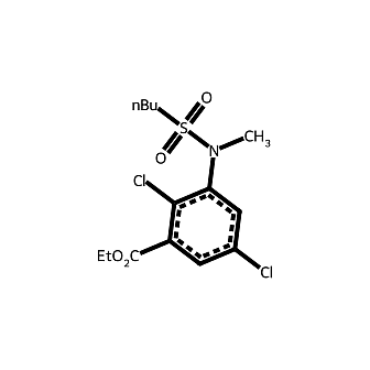 CCCCS(=O)(=O)N(C)c1cc(Cl)cc(C(=O)OCC)c1Cl